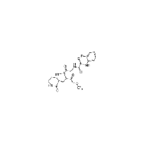 CC(C)N(C(=O)CNC(=O)C(=O)Nc1ccccc1F)C(CC1CCCNC1=O)C(=O)COC(F)(F)F